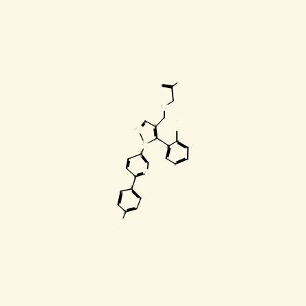 O=C(O)CNCc1cnn(-c2ccc(-c3ccc(F)cc3)nc2)c1-c1ccccc1F